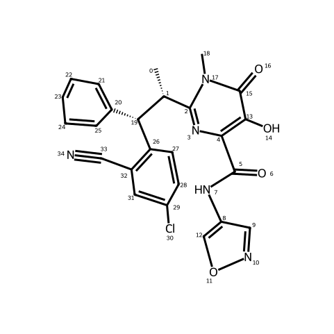 C[C@H](c1nc(C(=O)Nc2cnoc2)c(O)c(=O)n1C)[C@@H](c1ccccc1)c1ccc(Cl)cc1C#N